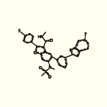 CNC(=O)c1c(-c2ccc(F)cc2)oc2cc(N(C)S(C)(=O)=O)c(-c3cccc(-c4cc5ccc(F)cc5s4)c3)cc12